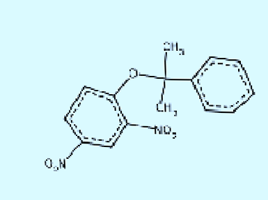 CC(C)(Oc1ccc([N+](=O)[O-])cc1[N+](=O)[O-])c1ccccc1